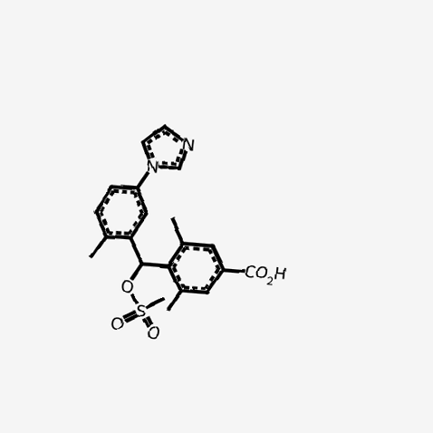 Cc1ccc(-n2ccnc2)cc1C(OS(C)(=O)=O)c1c(C)cc(C(=O)O)cc1C